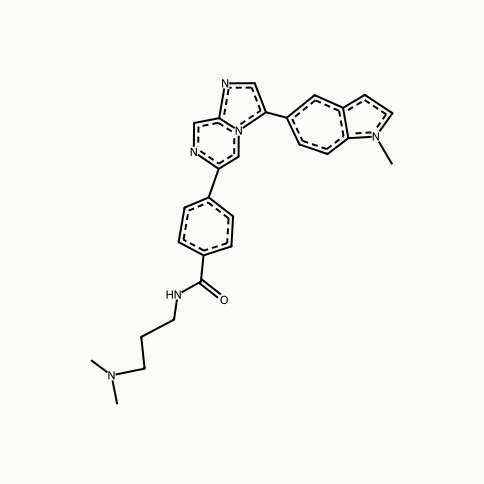 CN(C)CCCNC(=O)c1ccc(-c2cn3c(-c4ccc5c(ccn5C)c4)cnc3cn2)cc1